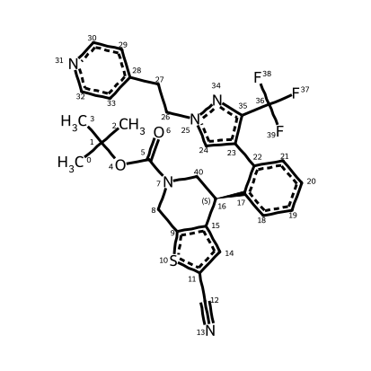 CC(C)(C)OC(=O)N1Cc2sc(C#N)cc2[C@H](c2ccccc2-c2cn(CCc3ccncc3)nc2C(F)(F)F)C1